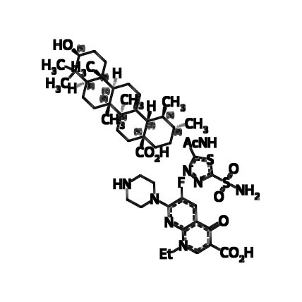 CC(=O)Nc1nnc(S(N)(=O)=O)s1.CCn1cc(C(=O)O)c(=O)c2cc(F)c(N3CCNCC3)nc21.C[C@H]1[C@H](C)CC[C@]2(C(=O)O)CC[C@]3(C)C(=CC[C@@H]4[C@@]5(C)CC[C@H](O)C(C)(C)[C@@H]5CC[C@]43C)[C@H]12